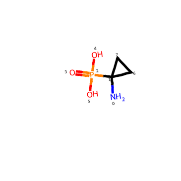 NC1(P(=O)(O)O)CC1